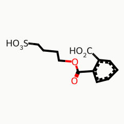 O=C(O)c1ccccc1C(=O)OCCCCS(=O)(=O)O